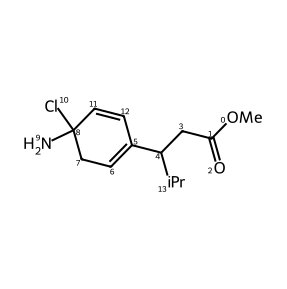 COC(=O)CC(C1=CCC(N)(Cl)C=C1)C(C)C